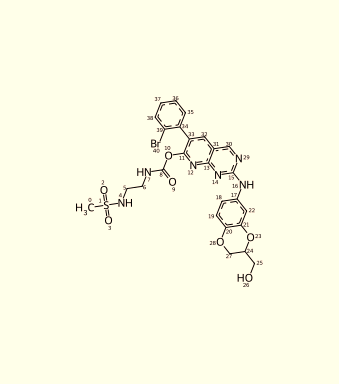 CS(=O)(=O)NCCNC(=O)Oc1nc2nc(Nc3ccc4c(c3)OC(CO)CO4)ncc2cc1-c1ccccc1Br